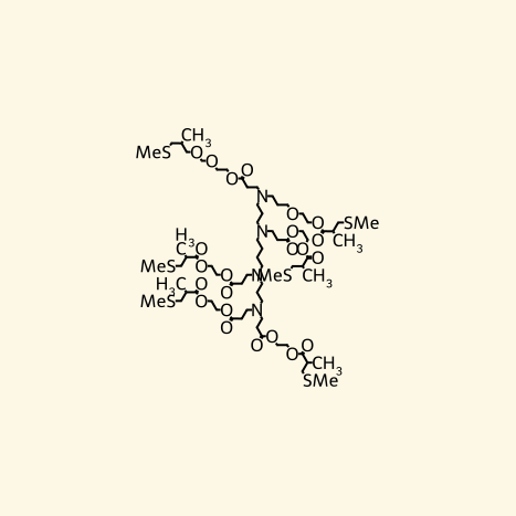 CSCC(C)COCOCCOC(=O)CCN(CCCOCCOC(=O)C(C)CSC)CCCN(CCCCN(CCCN(CCC(=O)OCCOC(=O)C(C)CSC)CCC(=O)OCCOC(=O)C(C)CSC)CCC(=O)OCCOC(=O)C(C)CSC)CCC(=O)OCCOC(=O)C(C)CSC